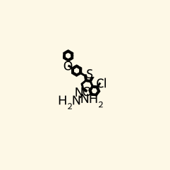 NC(N)=NC(=O)Cc1c(-c2ccccc2Cl)csc1-c1ccc(Oc2ccccc2)cc1